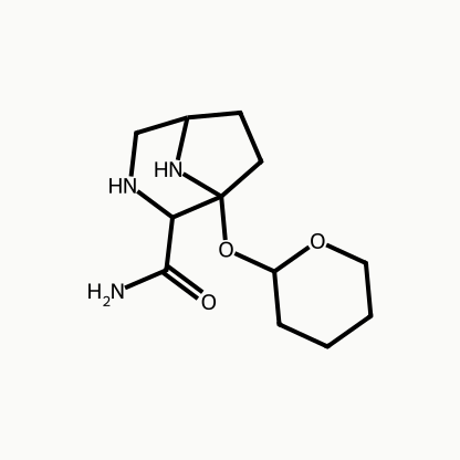 NC(=O)C1NCC2CCC1(OC1CCCCO1)N2